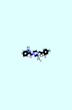 C=C(CN1CCN(C(=O)c2n[nH]c3ccccc23)C[C@@H]1C)c1ccc(F)cc1